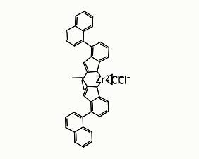 CCC1=Cc2c(-c3cccc4ccccc34)cccc2[CH]1[Zr+2]1([CH]2C(CC)=Cc3c(-c4cccc5ccccc45)cccc32)[CH2][CH2]1.[Cl-].[Cl-]